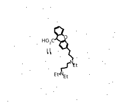 CCN(CC)CCCN(CC)CCCc1ccc2c(c1)Oc1ccccc1C2C(=O)O.CI.CI